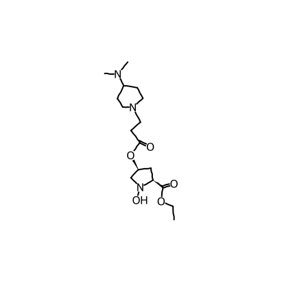 CCOC(=O)[C@@H]1C[C@H](OC(=O)CCN2CCC(N(C)C)CC2)CN1O